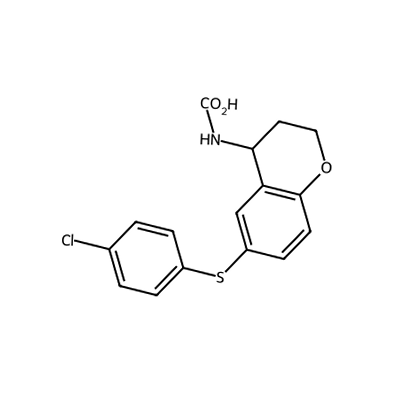 O=C(O)NC1CCOc2ccc(Sc3ccc(Cl)cc3)cc21